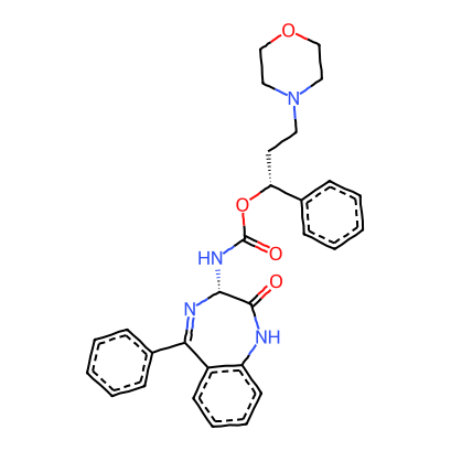 O=C(N[C@H]1N=C(c2ccccc2)c2ccccc2NC1=O)O[C@H](CCN1CCOCC1)c1ccccc1